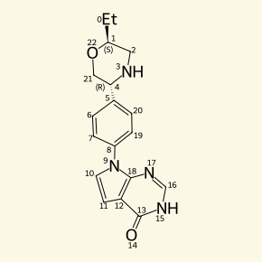 CC[C@H]1CN[C@H](c2ccc(-n3ccc4c(=O)[nH]cnc43)cc2)CO1